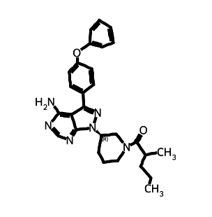 CCCC(C)C(=O)N1CCC[C@@H](n2nc(-c3ccc(Oc4ccccc4)cc3)c3c(N)ncnc32)C1